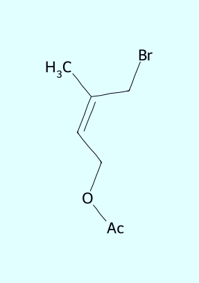 CC(=O)OCC=C(C)CBr